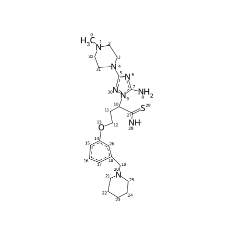 CN1CCN(c2nc(N)n(C(CCOc3cccc(CN4CCCCC4)c3)C([NH])=S)n2)CC1